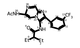 CCC(CC)C(=O)Nc1c(-c2cccc(C(F)(F)F)c2)nc2cnc(NC(C)=O)cn12